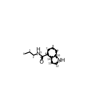 CCCNC(=O)c1cccc2[nH]ccc12